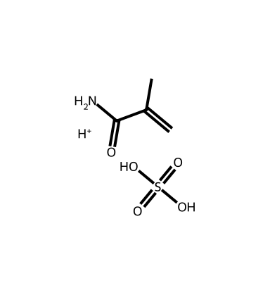 C=C(C)C(N)=O.O=S(=O)(O)O.[H+]